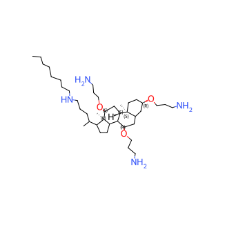 CCCCCCCCNCCCC(C)C1CCC2C3[C@H](OCCCN)CC4C[C@H](OCCCN)CC[C@]4(C)[C@H]3C[C@H](OCCCN)[C@]12C